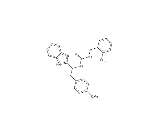 COc1ccc(CC(NC(=O)NCc2ccccc2C)c2nc3ccccc3[nH]2)cc1